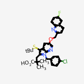 CC(C)(C)Sc1c(CC(C)(C)C(=O)O)n(Cc2ccc(Cl)cc2)c2ncc(OCc3ccc4cc(F)ccc4n3)cc12